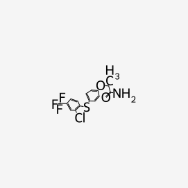 CC(Oc1ccc(Sc2ccc(C(F)(F)F)cc2Cl)cc1)C(N)=O